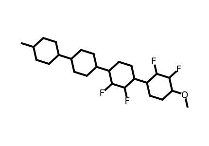 COC1CCC(C2CCC(C3CCC(C4CCC(C)CC4)CC3)C(F)C2F)C(F)C1F